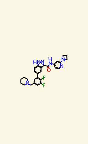 O=C(Nc1ccnc(N2CCC2)c1)c1n[nH]c2ccc(-c3cc(CN4CCCCC4)cc(F)c3F)cc12